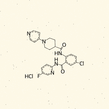 Cl.O=C(Nc1ccc(F)cn1)c1cc(Cl)ccc1NC(=O)C1CCN(c2ccncc2)CC1